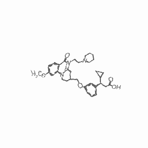 COc1ccc(C(=O)NCCN2CCCCC2)c(N2CCC(COc3cccc(C(CC(=O)O)C4CC4)c3)CC2)c1